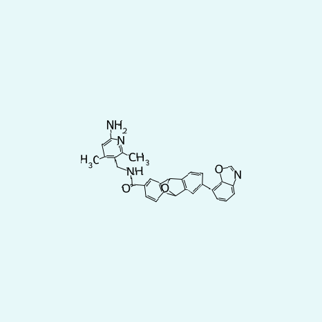 Cc1cc(N)nc(C)c1CNC(=O)c1ccc2c(c1)C1OC2c2cc(-c3cccc4ncoc34)ccc21